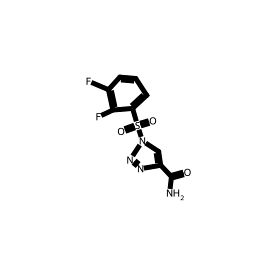 NC(=O)c1cn(S(=O)(=O)c2cccc(F)c2F)nn1